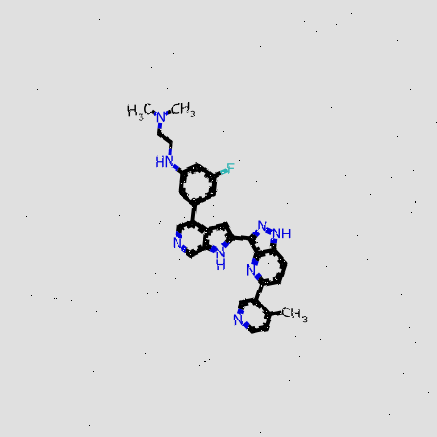 Cc1ccncc1-c1ccc2[nH]nc(-c3cc4c(-c5cc(F)cc(NCCN(C)C)c5)cncc4[nH]3)c2n1